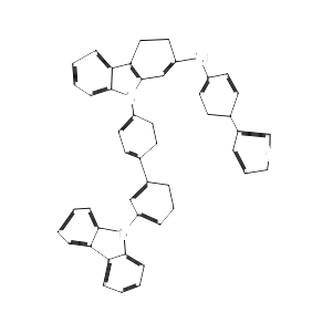 C1=CC(C2C=CC(NC3=Cc4c(c5ccccc5n4C4=CC=C(C5=CC(n6c7ccccc7c7ccccc76)=CCC5)CC4)CC3)=CC2)=CCC1